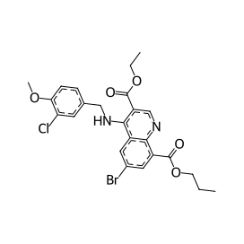 CCCOC(=O)c1cc(Br)cc2c(NCc3ccc(OC)c(Cl)c3)c(C(=O)OCC)cnc12